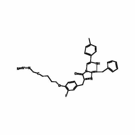 Cc1ccc(-c2cn3c(=O)c(Cc4ccc(OCCCCCCN=[N+]=[N-])c(F)c4)nc-3c(Cc3ccccc3)[nH]2)cc1